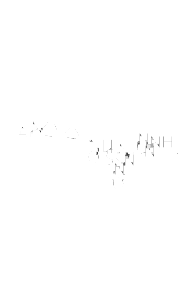 CC(=O)N1CCCc2cc(-c3ccc(CCNC(=O)c4cc5nc(-c6cnc(N)nc6)nc(N6CCOCC6)c5s4)cc3)ccc21